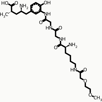 COCCOCC(=O)NCCCC[C@H](N)C(=O)NCC(=O)NCC(=O)Nc1cc(C[C@H](N)C[C@H](C)C(=O)O)ccc1O